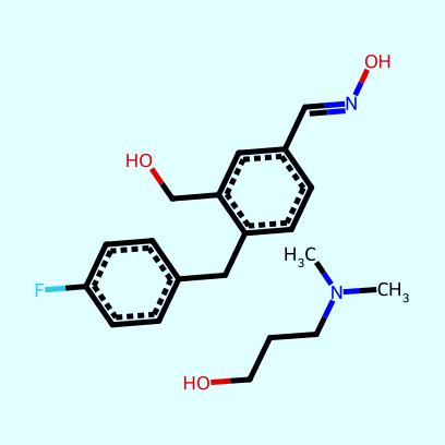 CN(C)CCCO.OCc1cc(C=NO)ccc1Cc1ccc(F)cc1